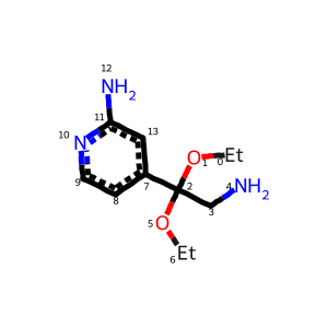 CCOC(CN)(OCC)c1ccnc(N)c1